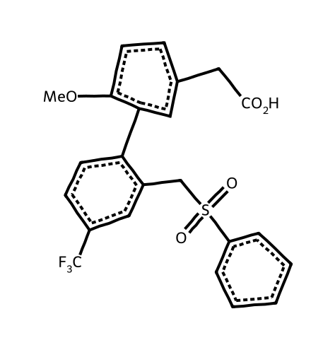 COc1ccc(CC(=O)O)cc1-c1ccc(C(F)(F)F)cc1CS(=O)(=O)c1ccccc1